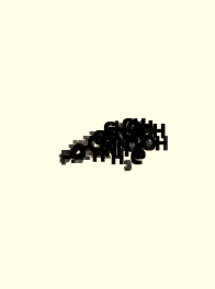 CSC1O[C@H]([C@H](NC(=O)[C@H]2NC[C@@H]3C[C@@H](c4ccc(F)cc4)CCO[C@H]32)[C@H](C)Cl)C(O)[C@@H](O)[C@H]1O